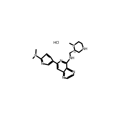 CN(C)c1ccc(-c2cc3nccnc3c(NC[C@@H]3CNCCN3C)n2)cn1.Cl